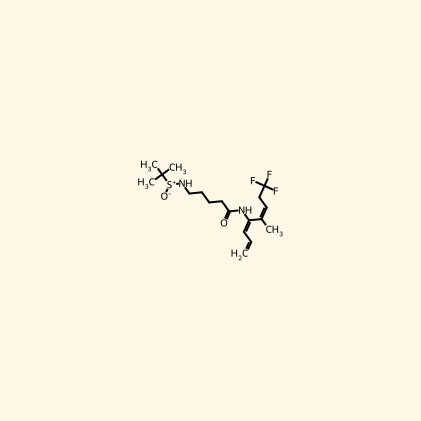 C=C/C=C(NC(=O)CCCCN[S+]([O-])C(C)(C)C)\C(C)=C/CC(F)(F)F